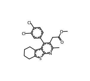 COC(=O)Cc1c(C)nc2sc3c(c2c1-c1ccc(Cl)c(Cl)c1)CCCC3